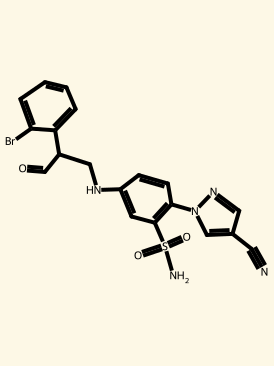 N#Cc1cnn(-c2ccc(NCC(C=O)c3ccccc3Br)cc2S(N)(=O)=O)c1